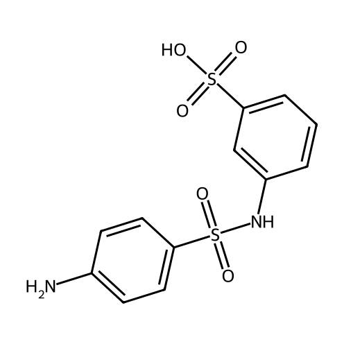 Nc1ccc(S(=O)(=O)Nc2cccc(S(=O)(=O)O)c2)cc1